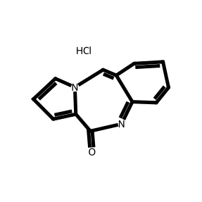 Cl.O=c1nc2ccccc2cn2cccc12